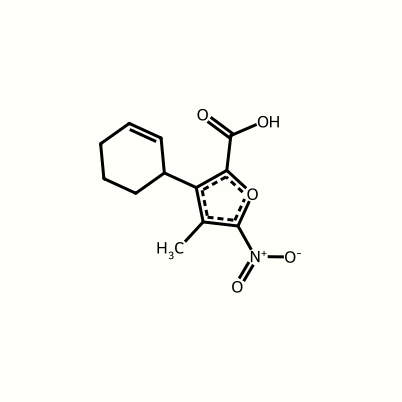 Cc1c([N+](=O)[O-])oc(C(=O)O)c1C1C=CCCC1